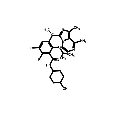 Cc1nc([C@@H](C)c2cc(Cl)c(F)c(C(=O)NC3CCC(O)CC3)c2OC(C)C)n2ccnc(N)c12